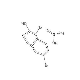 O=S(O)O.Oc1ccc2cc(Br)ccc2c1Br